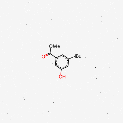 CCC(C)c1cc(O)cc(C(=O)OC)c1